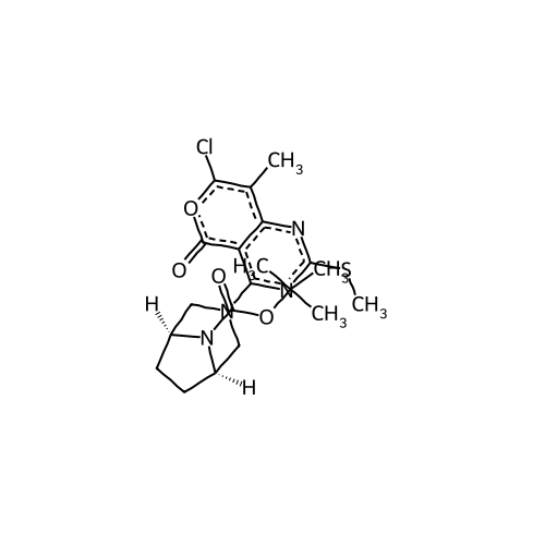 CSc1nc(N2C[C@H]3CC[C@@H](C2)N3C(=O)OC(C)(C)C)c2c(=O)oc(Cl)c(C)c2n1